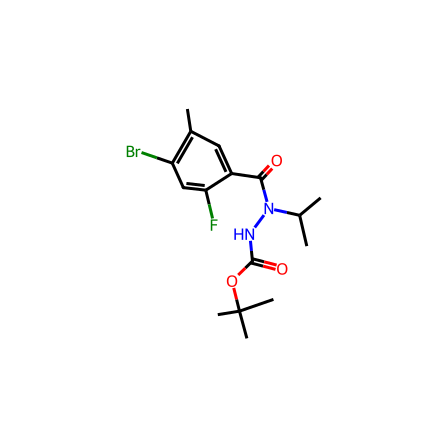 Cc1cc(C(=O)N(NC(=O)OC(C)(C)C)C(C)C)c(F)cc1Br